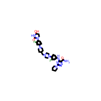 NC(=O)c1nnc(N2CCCCC2)nc1Nc1ccc(N2CCN(CC3CCN(c4ccc(N5CCC(O)NC5=O)c(F)c4)CC3)CC2)c(F)c1